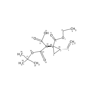 C=C[C@@H]1C[C@@]1(C(=O)OCC)N(C(=O)O)C(=O)OC(C)(C)C